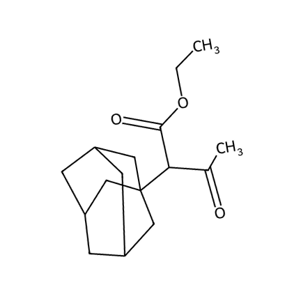 CCOC(=O)C(C(C)=O)C12CC3CC(CC(C3)C1)C2